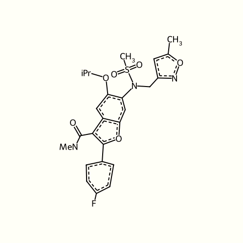 CNC(=O)c1c(-c2ccc(F)cc2)oc2cc(N(Cc3cc(C)on3)S(C)(=O)=O)c(OC(C)C)cc12